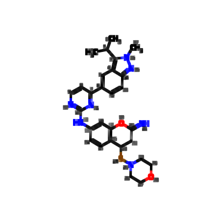 CC(C)c1c2cc(-c3ccnc(Nc4ccc5c(c4)OC(=N)CC5SN4CCOCC4)n3)ccc2nn1C